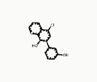 Oc1cccc(-c2cc(Cl)c3cccnc3c2O)c1